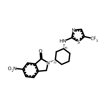 O=C1c2cc([N+](=O)[O-])ccc2CN1[C@H]1CCC[C@@H](Nc2ncc(C(F)(F)F)s2)C1